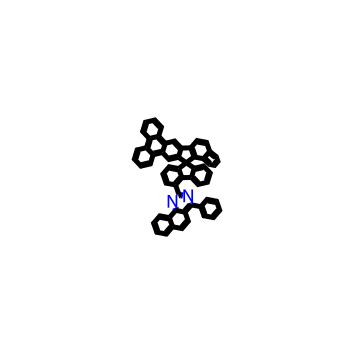 c1ccc(-c2nc(-c3cccc4c3-c3ccccc3C43c4cc5c6ccccc6c6ccccc6c5cc4-c4ccc5ccccc5c43)nc3c2ccc2ccccc23)cc1